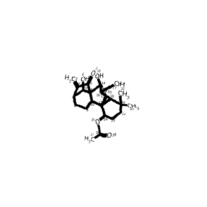 C=C1C(=O)C23C(O)C1CCC2C12COC3(O)C(O)C1C(C)(C)CCC2OC(C)=O